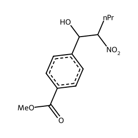 CCCC(C(O)c1ccc(C(=O)OC)cc1)[N+](=O)[O-]